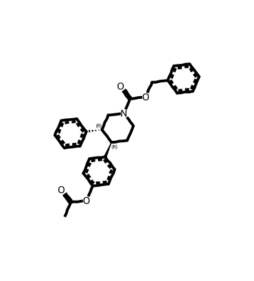 CC(=O)Oc1ccc([C@@H]2CCN(C(=O)OCc3ccccc3)C[C@H]2c2ccccc2)cc1